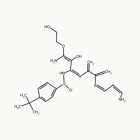 C=C(/N=C\C=C/N)C(=C)/N=C(N[S+]([O-])c1ccc(C(C)(C)C)cc1)\C(O)=C(/N)OCCO